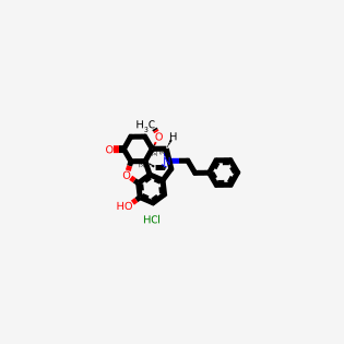 CO[C@@]12CCC(=O)C3Oc4c(O)ccc5c4[C@@]31CCN(CCc1ccccc1)[C@@H]2C5.Cl